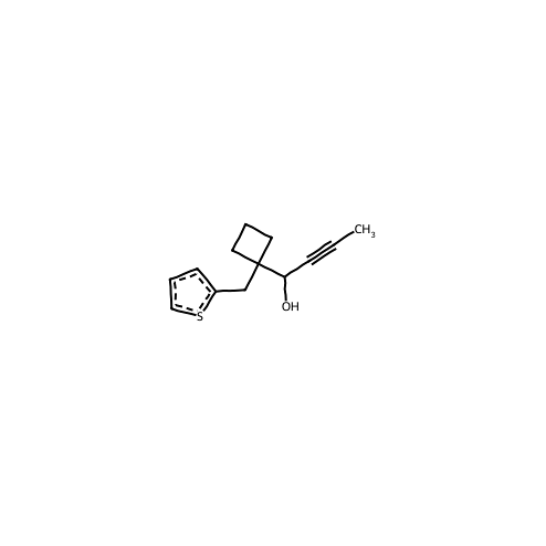 CC#CC(O)C1(Cc2cccs2)CCC1